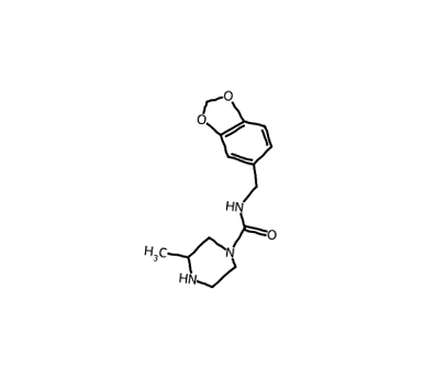 CC1CN(C(=O)NCc2ccc3c(c2)OCO3)CCN1